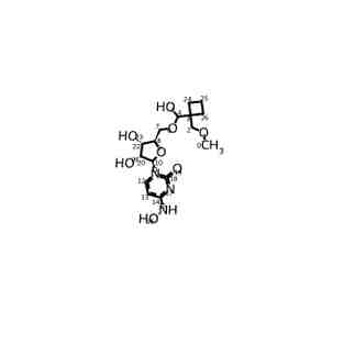 COCC1(C(O)OC[C@H]2O[C@@H](n3ccc(NO)nc3=O)[C@H](O)[C@@H]2O)CCC1